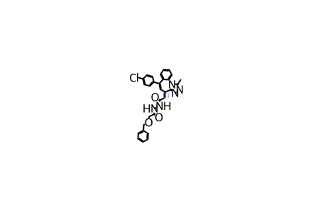 Cc1nnc2n1-c1ccccc1C(c1ccc(Cl)cc1)=C/C2=C\C(=O)NNC(=O)COCc1ccccc1